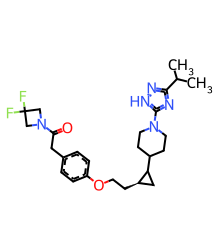 CC(C)c1n[nH]c(N2CCC(C3C[C@H]3CCOc3ccc(CC(=O)N4CC(F)(F)C4)cc3)CC2)n1